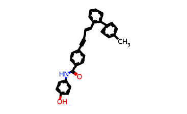 Cc1ccc(-c2ccccc2/C=C/C#Cc2ccc(C(=O)Nc3ccc(O)cc3)cc2)cc1